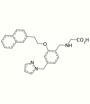 O=C(O)CNCc1ccc(Cn2cccn2)cc1OCCc1ccc2ccccc2c1